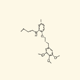 CCCCNc1nc(C)ncc1OCCCc1cc(OC)c(OC)c(OC)c1